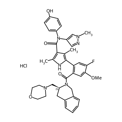 COc1cc(C(=O)N2Cc3ccccc3C[C@H]2CN2CCOCC2)c(-c2[nH]c(C)c(C(=O)N(c3ccc(O)cc3)c3cnn(C)c3)c2C)cc1F.Cl